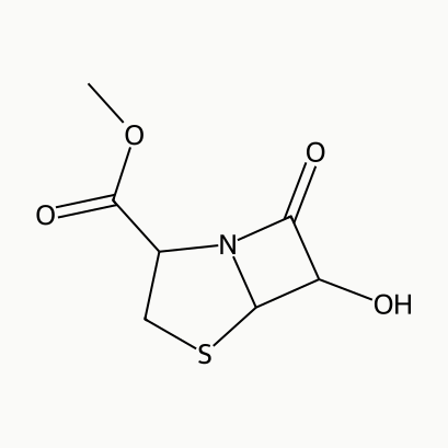 COC(=O)C1CSC2C(O)C(=O)N12